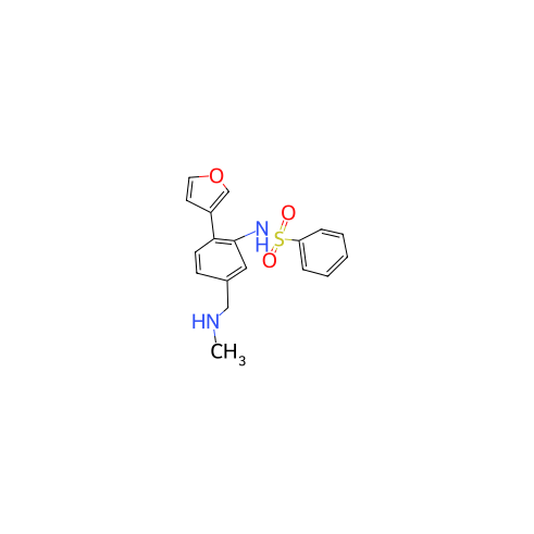 CNCc1ccc(-c2ccoc2)c(NS(=O)(=O)c2ccccc2)c1